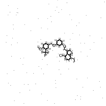 CCc1cnc(Cl)c2c(COc3cccc(OCc4ccc(OC)c(C(F)(F)F)c4)c3)csc12